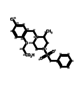 CC1CN(S(=O)(=O)Cc2ccccc2)CCN1Cc1cc(Cl)ccc1OCC(=O)O